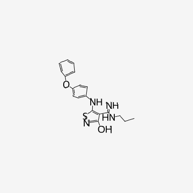 CCCNC(=N)c1c(O)nsc1Nc1ccc(Oc2ccccc2)cc1